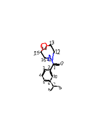 C=C(c1cccc(C(C)C)c1)N1CCOCC1